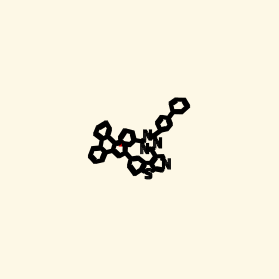 c1ccc(-c2ccc(-c3nc(-c4ccccc4)nc(-c4cncc5sc6ccc(-c7ccc8c9ccccc9c9ccccc9c8c7)cc6c45)n3)cc2)cc1